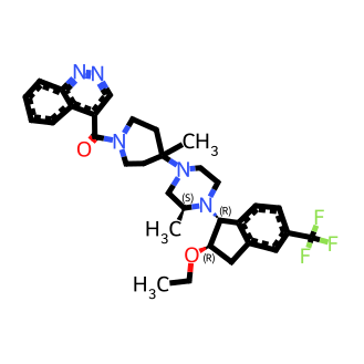 CCO[C@@H]1Cc2cc(C(F)(F)F)ccc2[C@H]1N1CCN(C2(C)CCN(C(=O)c3cnnc4ccccc34)CC2)C[C@@H]1C